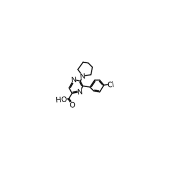 O=C(O)c1cnc(N2CCCCC2)c(-c2ccc(Cl)cc2)n1